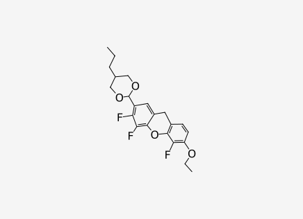 CCCC1COC(c2cc3c(c(F)c2F)Oc2c(ccc(OCC)c2F)C3)OC1